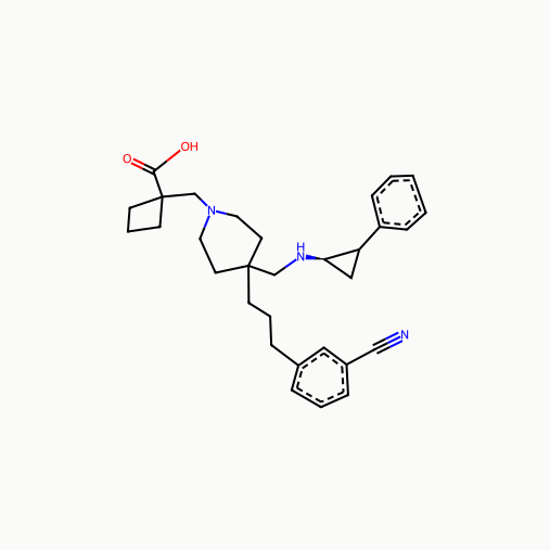 N#Cc1cccc(CCCC2(CN[C@@H]3CC3c3ccccc3)CCN(CC3(C(=O)O)CCC3)CC2)c1